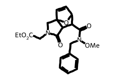 CCOC(=O)CN1CC23C=CC(O2)C(C(=O)N(Cc2ccccc2)OC)C3C1=O